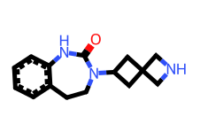 O=C1Nc2ccccc2CCN1C1CC2(CNC2)C1